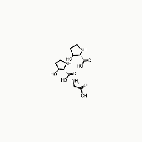 NCC(=O)O.O=C(O)[C@H]1NCCC1O.O=C(O)[C@H]1NCCC1O